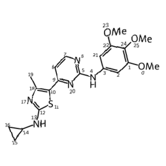 COc1cc(Nc2nccc(-c3sc(NC4CC4)nc3C)n2)cc(OC)c1OC